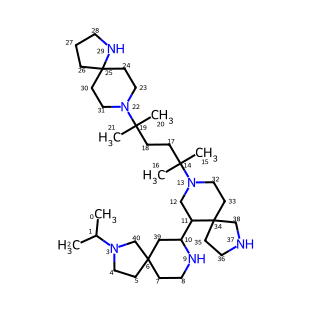 CC(C)N1CCC2(CCNC(C3CN(C(C)(C)CCC(C)(C)N4CCC5(CCCN5)CC4)CCC34CCNC4)C2)C1